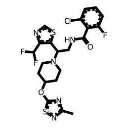 Cc1nsc(OC2CCN(C(CNC(=O)c3c(F)cccc3Cl)c3scnc3C(F)F)CC2)n1